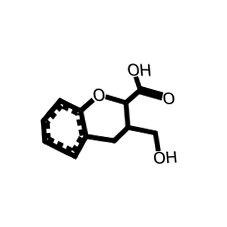 O=C(O)C1Oc2ccccc2CC1CO